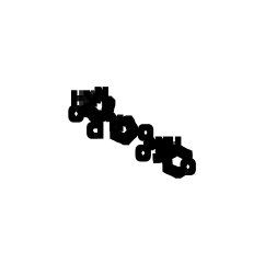 CC1(NC(=O)O[C@@H]2CCN(c3cn[nH]c(=O)c3Cl)C2)CCOCC1